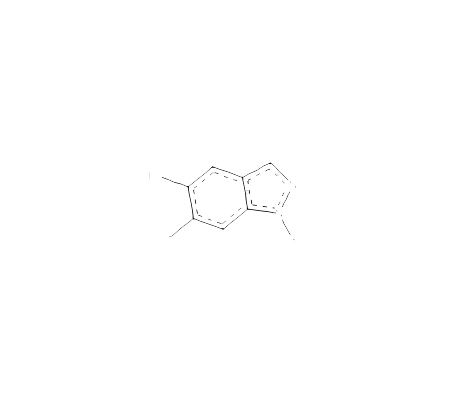 CC(=O)n1ncc2cc(Br)c(Cl)cc21